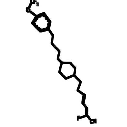 N#CC(F)=CC=CCCC1CCC(CCCCc2ccc(OC(F)(F)F)cc2)CC1